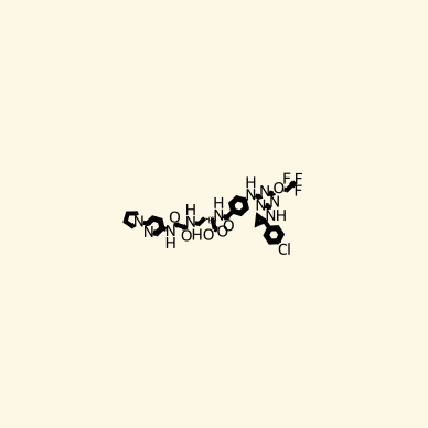 O=C(NCC[C@H](NC(=O)c1ccc(Nc2nc(NC3(c4ccc(Cl)cc4)CC3)nc(OCC(F)(F)F)n2)cc1)C(=O)O)C(=O)Nc1ccc(N2CCCC2)nc1